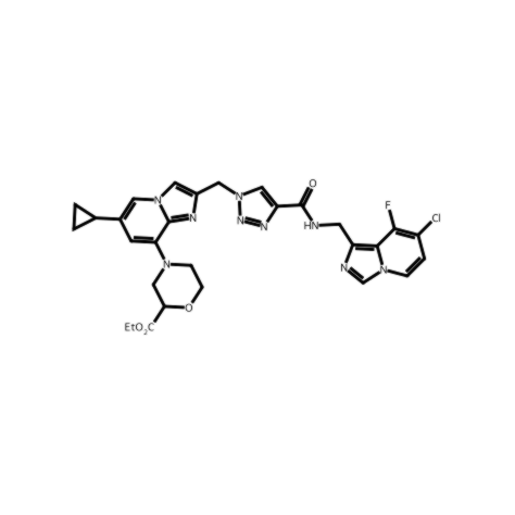 CCOC(=O)C1CN(c2cc(C3CC3)cn3cc(Cn4cc(C(=O)NCc5ncn6ccc(Cl)c(F)c56)nn4)nc23)CCO1